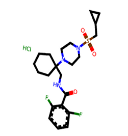 Cl.O=C(NCC1(N2CCN(S(=O)(=O)CC3CC3)CC2)CCCCC1)c1c(F)cccc1F